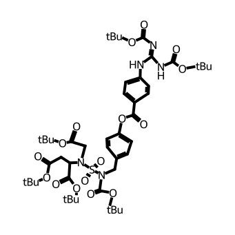 CC(C)(C)OC(=O)CC(C(=O)OC(C)(C)C)N(CC(=O)OC(C)(C)C)S(=O)(=O)N(Cc1ccc(OC(=O)c2ccc(NC(=NC(=O)OC(C)(C)C)NC(=O)OC(C)(C)C)cc2)cc1)C(=O)OC(C)(C)C